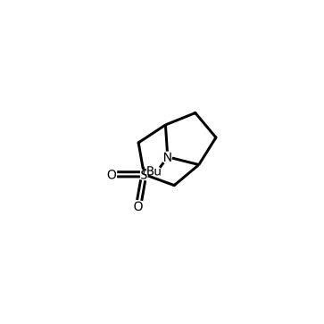 CC(C)(C)N1C2CCC1CS(=O)(=O)C2